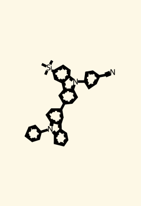 C[Si](C)(C)c1ccc2c(c1)c1cc(-c3ccc4c(c3)c3ccccc3n4-c3ccccc3)ccc1n2-c1ccc(C#N)cc1